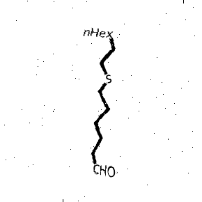 CCCCCCCCSCCCCC[C]=O